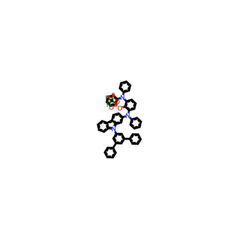 O=S(=O)(Oc1c(N(c2ccccc2)c2ccccc2)cccc1N(c1ccccc1)c1ccc2c3ccccc3n(-c3cc(-c4ccccc4)cc(-c4ccccc4)c3)c2c1)C(F)(F)F